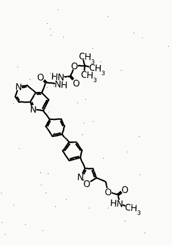 CNC(=O)OCc1cc(-c2ccc(-c3ccc(-c4cc(C(=O)NNC(=O)OC(C)(C)C)c5cnccc5n4)cc3)cc2)no1